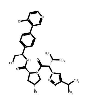 CC(C)c1cn([C@H](C(=O)N2C[C@H](O)C[C@H]2C(=O)N[C@@H](CO)c2ccc(-c3cnccc3Cl)cc2)C(C)C)nn1